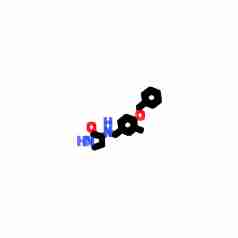 Cc1cc(CNC2CCNC2=O)ccc1OCc1ccccc1